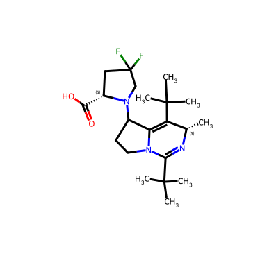 C[C@@H]1N=C(C(C)(C)C)N2CCC(N3CC(F)(F)C[C@H]3C(=O)O)C2=C1C(C)(C)C